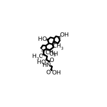 C[C@H](CC(O)C(=O)NCC(=O)O)[C@H]1CCC2C3C(C[C@H](O)[C@@]21C)[C@@]1(C)CC[C@@H](O)CC1C[C@@H]3O